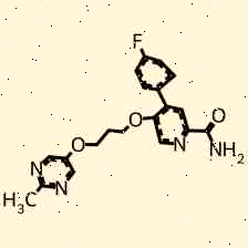 Cc1ncc(OCCCOc2cnc(C(N)=O)cc2-c2ccc(F)cc2)cn1